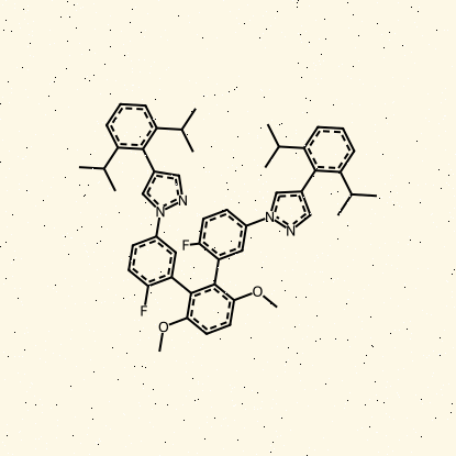 COc1ccc(OC)c(-c2cc(-n3cc(-c4c(C(C)C)cccc4C(C)C)cn3)ccc2F)c1-c1cc(-n2cc(-c3c(C(C)C)cccc3C(C)C)cn2)ccc1F